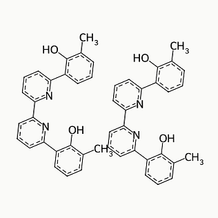 Cc1cccc(-c2cccc(-c3cccc(-c4cccc(C)c4O)n3)n2)c1O.Cc1cccc(-c2cccc(-c3cccc(-c4cccc(C)c4O)n3)n2)c1O